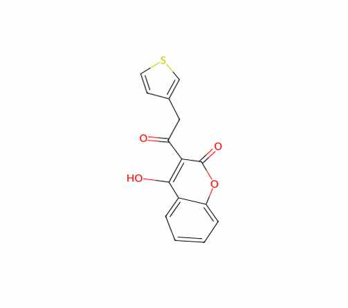 O=C(Cc1ccsc1)c1c(O)c2ccccc2oc1=O